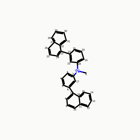 CN(c1cccc(-c2cccc3ccccc23)c1)c1cccc(-c2cccc3ccccc23)c1